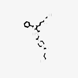 CCCCOC(=O)N1CCN(C(=O)CNC(=O)c2nc(-c3ccccc3)sc2/C=C/C(=O)OCC)CC1